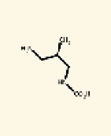 C[C@H](CN)CNC(=O)O